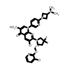 CN(C)C1CN(c2ccc(-n3cc(C(=O)O)c(=O)c4cc(Cl)c(N5CC(F)(F)C[C@@H]5COc5ncccc5Cl)nc43)cn2)C1